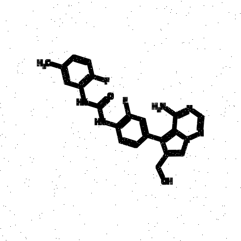 Cc1ccc(F)c(NC(=O)Nc2ccc(-c3c(CO)cn4ncnc(N)c34)cc2F)c1